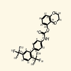 O=C(Nc1ccc(-c2cc(C(F)(F)F)ccc2C(F)(F)F)cc1)Oc1cccc2c1OCCO2